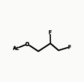 CC(=O)OCC(F)CF